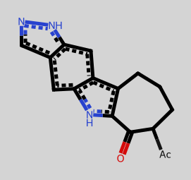 CC(=O)C1CCCc2c([nH]c3cc4cn[nH]c4cc23)C1=O